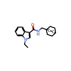 CCn1cc(C(=O)NCC23CCC(CC2)CC3)c2ccccc21